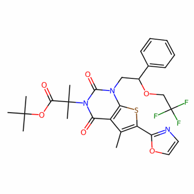 Cc1c(-c2ncco2)sc2c1c(=O)n(C(C)(C)C(=O)OC(C)(C)C)c(=O)n2CC(OCC(F)(F)F)c1ccccc1